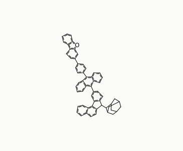 c1ccc2c3c(ccc2c1)C(C1C2CC4CC(C2)CC1C4)c1ccc(-c2c4ccccc4c(-c4ccc(-c5ccc6c(c5)oc5ccccc56)cc4)c4ccccc24)cc1-3